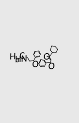 CNCCC(Oc1ccc2c(=O)cc(C3CCCCC3)oc2c1)c1ccccc1